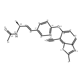 C=c1nc(C)s/c1=C(C#N)/C(=C\C)Oc1ccc(/C=C/[C@H](C)NC(C)=O)cn1